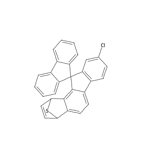 Clc1ccc2c(c1)C1(c3ccccc3-c3ccccc31)c1c-2ccc2c1C1C=CC2S1